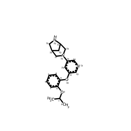 CC(C)Oc1ccccc1Oc1cncc(N2CC3CNC(C3)C2)c1